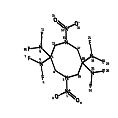 O=[N+]([O-])N1CC(N(F)F)(N(F)F)CN([N+](=O)[O-])CC(N(F)F)(N(F)F)C1